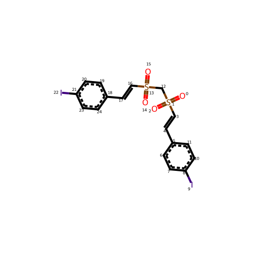 O=S(=O)(C=Cc1ccc(I)cc1)CS(=O)(=O)C=Cc1ccc(I)cc1